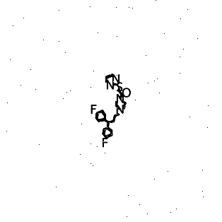 O=C(CSc1ncccn1)N1CCN(CCCC(c2ccc(F)cc2)c2ccc(F)cc2)CC1